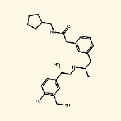 C[C@H](Cc1cccc(CC(=O)NCC2CCCC2)c1)NC[C@@H](O)c1ccc(O)c(CO)c1